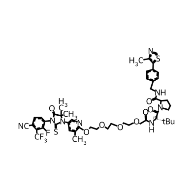 Cc1cc(N2C(=S)N(c3ccc(C#N)c(C(F)(F)F)c3F)C(=O)C2(C)C)cnc1OCCOCCOCCOCC(=O)N[C@H](C(=O)N1CCCC1C(=O)NCc1ccc(-c2scnc2C)cc1)C(C)(C)C